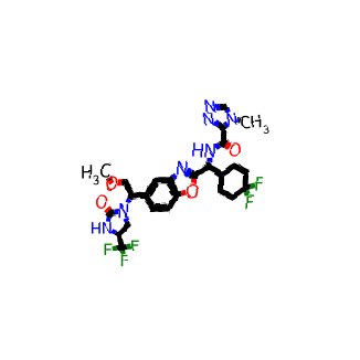 COCC(c1ccc2oc(C(NC(=O)c3nncn3C)C3CCC(F)(F)CC3)nc2c1)N1CC(C(F)(F)F)NC1=O